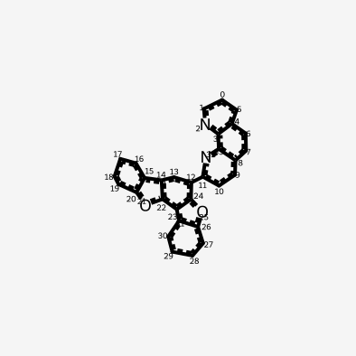 c1cnc2c(c1)ccc1ccc(-c3cc4c5ccccc5oc4c4c3oc3ccccc34)nc12